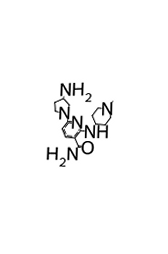 CN1CCC(Nc2nc(N3CC[C@H](N)C3)ccc2C(N)=O)CC1